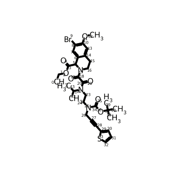 CCOC(=O)C1c2cc(Br)c(OC)cc2CCN1C(=O)C(=O)N(CCN(CC#Cc1cccs1)C(=O)OC(C)(C)C)C(C)C